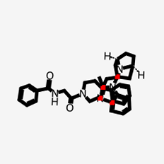 Cc1nc2ccccc2n1C1C[C@H]2CC[C@@H](C1)N2CCC1(c2ccccc2)CCN(C(=O)CNC(=O)c2ccccc2)CC1